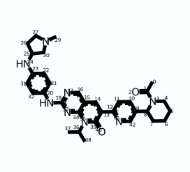 CC(=O)N1CCCCC1c1ccc(-c2cc3cnc(Nc4ccc(NC5CCN(C)C5)cc4)nc3n(C(C)C)c2=O)nc1